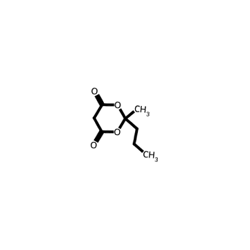 CCCC1(C)OC(=O)CC(=O)O1